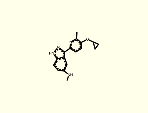 CNc1ccc2[nH]nc(-c3ccc(OC4CC4)c(C)n3)c2c1